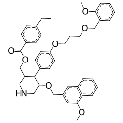 CCc1ccc(C(=O)OCC2CNCC(OCc3cc(OC)c4ccccc4c3)C2c2ccc(OCCCOCc3ccccc3OC)cc2)cc1